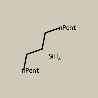 CCCCCCCCCCCCC.[SiH4]